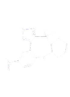 Cn1cc2c(n1)-c1cc([N+](=O)[O-])ccc1NC1CCCCC1C2(C)C